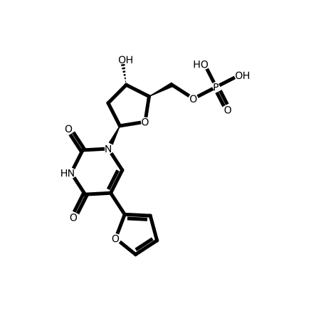 O=c1[nH]c(=O)n([C@H]2C[C@H](O)[C@@H](COP(=O)(O)O)O2)cc1-c1ccco1